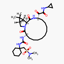 CN(C)S(=O)(=O)CC1(NC(=O)N[C@H]2CCCCCCCCC[C@@H](C(=O)C(=O)NC3CC3)NC(=O)[C@@H]3[C@@H]4[C@H](CN3C2=O)C4(C)C)CCCCC1